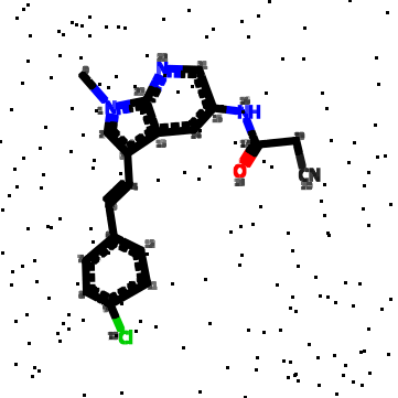 Cn1cc(C=Cc2ccc(Cl)cc2)c2cc(NC(=O)CC#N)cnc21